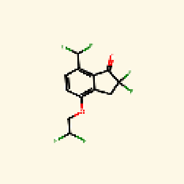 O=C1c2c(C(F)F)ccc(OCC(F)F)c2CC1(F)F